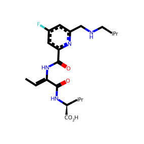 C/C=C(\NC(=O)c1cc(F)cc(CNCC(C)C)n1)C(=O)N[C@H](C(=O)O)C(C)C